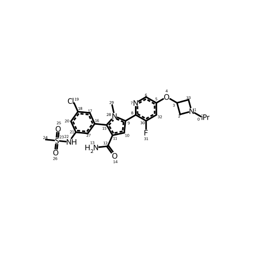 CC(C)N1CC(Oc2cnc(-c3cc(C(N)=O)c(-c4cc(Cl)cc(NS(C)(=O)=O)c4)n3C)c(F)c2)C1